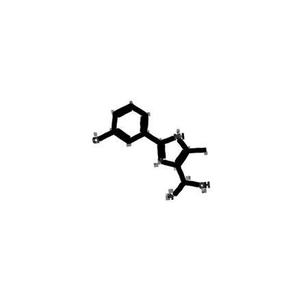 Cc1[nH]c(-c2cccc(Cl)c2)nc1C(O)C(C)C